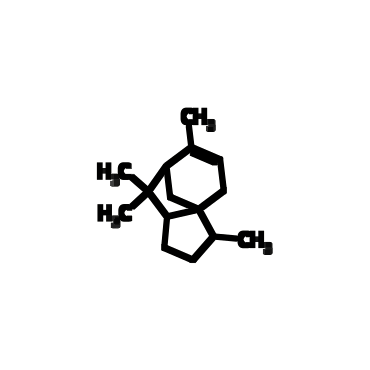 CC1=CCC23CC1C(C)(C)C2CCC3C